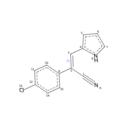 N#C/C(=C\c1ccc[nH]1)c1ccc(Cl)cc1